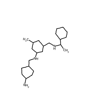 CC1CC(CNC(C)C2CCCCC2)CC(NCC2CCC(N)CC2)C1